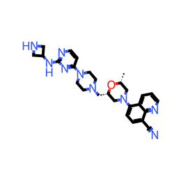 C[C@@H]1CN(c2ccc(C#N)c3ncccc23)C[C@H](CN2CCN(c3ccnc(NC4CNC4)n3)CC2)O1